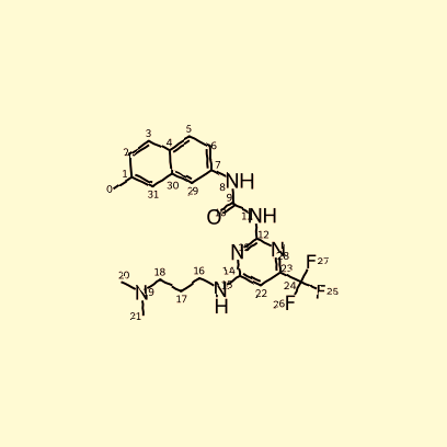 Cc1ccc2ccc(NC(=O)Nc3nc(NCCCN(C)C)cc(C(F)(F)F)n3)cc2c1